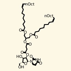 CCCCCCCC/C=C\CCCCCCCC(=O)OCC(COC(=O)CCCCCCC/C=C\CCCCCCCC)OC(=O)CCC(=O)O[C@@H]1[C@H](O)[C@@H](CO)O[C@H]1n1ccc(=O)[nH]c1=O